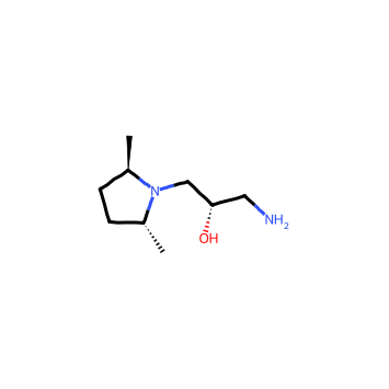 C[C@@H]1CC[C@@H](C)N1C[C@@H](O)CN